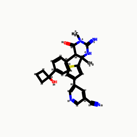 CN1C(=N)NC(C)(c2cc(-c3cncc(C#N)c3)cs2)C(c2ccc(C3(O)CCC3)cc2)C1=O